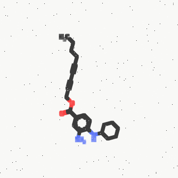 CCCCC#CC#CCOC(=O)c1ccc(NC2CCCCC2)c(N)c1